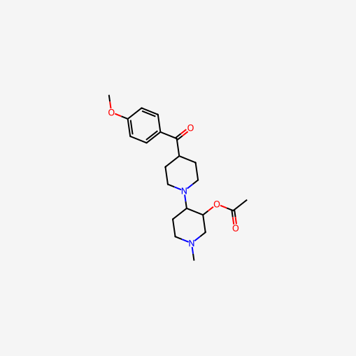 COc1ccc(C(=O)C2CCN(C3CCN(C)CC3OC(C)=O)CC2)cc1